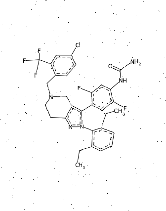 CCc1cccc(CC)c1-n1nc2c(c1-c1cc(F)c(NC(N)=O)cc1F)CN(Cc1ccc(Cl)cc1C(F)(F)F)CC2